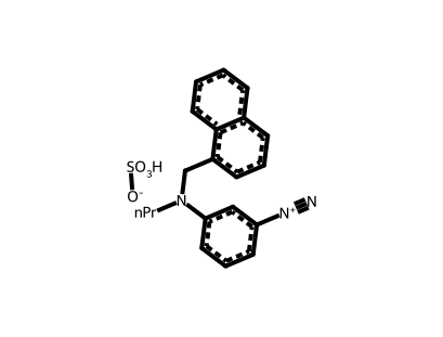 CCCN(Cc1cccc2ccccc12)c1cccc([N+]#N)c1.O=S(=O)([O-])O